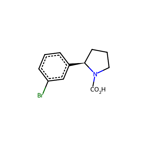 O=C(O)N1CCC[C@@H]1c1cccc(Br)c1